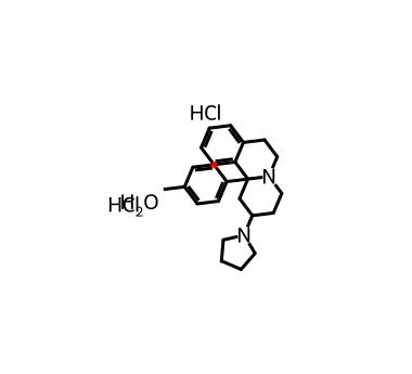 Cc1ccc(C23CC(N4CCCC4)CCN2CCc2ccccc23)cc1.Cl.Cl.O